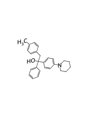 Cc1ccc(CC(O)(c2ccccc2)c2ccc(N3CCCCC3)cc2)cc1